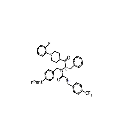 CCCCCc1ccc(CN(C(=O)/C=C/c2ccc(C(F)(F)F)cc2)[C@@H](Cc2ccccc2)C(=O)N2CCN(c3ccccc3F)CC2)cc1